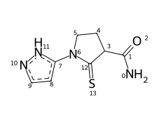 NC(=O)C1CCN(c2ccn[nH]2)C1=S